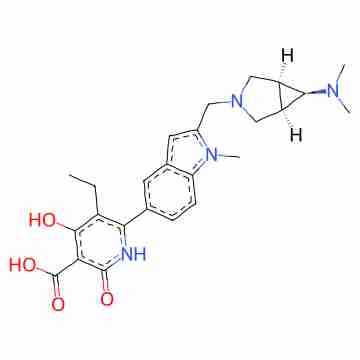 CCc1c(-c2ccc3c(c2)cc(CN2C[C@@H]4[C@H](C2)[C@@H]4N(C)C)n3C)[nH]c(=O)c(C(=O)O)c1O